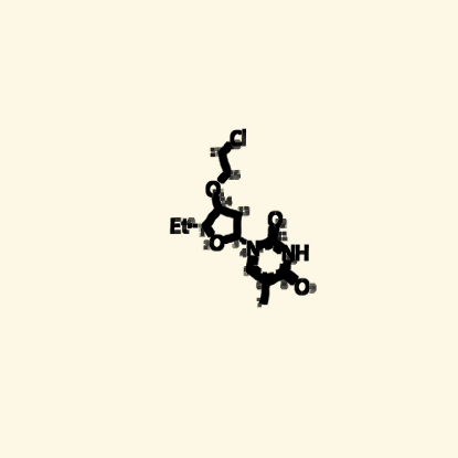 CC[C@H]1O[C@@H](n2cc(C)c(=O)[nH]c2=O)CC1OCCCl